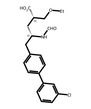 CCOC[C@H](C[C@@H](Cc1ccc(-c2cccc(Cl)c2)cc1)NC=O)C(=O)O